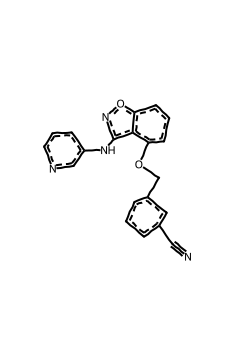 N#Cc1cccc(COc2cccc3onc(Nc4cccnc4)c23)c1